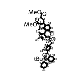 COC(=O)CCc1c(C(=O)OC)n(C)c2c(-c3c(CS(=O)(=O)Cc4cc(CO[Si](c5ccccc5)(c5ccccc5)C(C)(C)C)n(C)n4)nn(C)c3C)c(Cl)ccc12